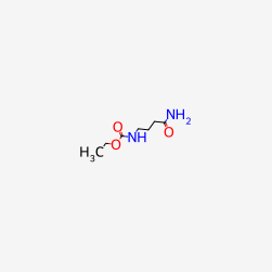 CCOC(=O)NCCCC(N)=O